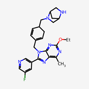 CCOc1nc(C)c2nc(-c3cncc(F)c3)n(CC3=CCC(CN4CC5CC4CN5)C=C3)c2n1